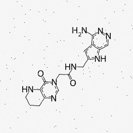 Nc1nncc2[nH]c(CNC(=O)Cn3cnc4c(c3=O)NCCC4)cc12